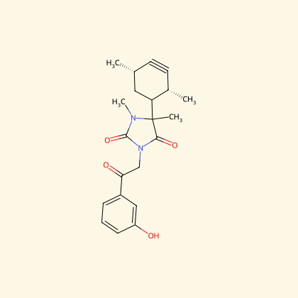 C[C@@H]1C#C[C@H](C)C(C2(C)C(=O)N(CC(=O)c3cccc(O)c3)C(=O)N2C)C1